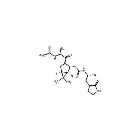 COC(=O)N[C@H](C(=O)N1C[C@H]2[C@@H]([C@H]1CC(=O)N[C@H](C#N)C[C@@H]1CCNC1=O)C2(C)C)C(C)(C)C